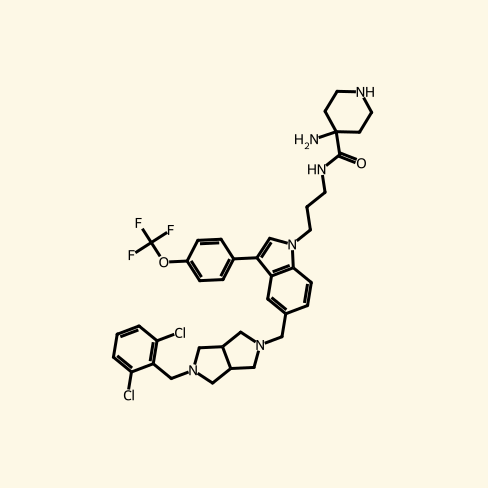 NC1(C(=O)NCCCn2cc(-c3ccc(OC(F)(F)F)cc3)c3cc(CN4CC5CN(Cc6c(Cl)cccc6Cl)CC5C4)ccc32)CCNCC1